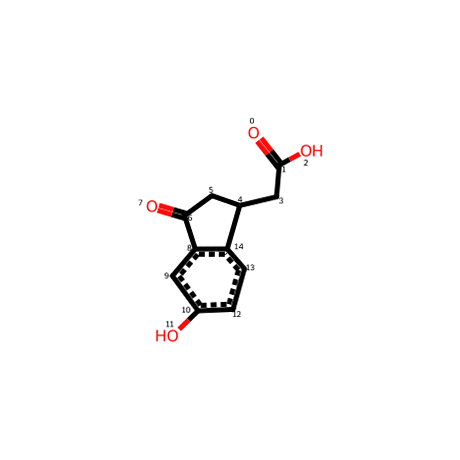 O=C(O)CC1CC(=O)c2cc(O)ccc21